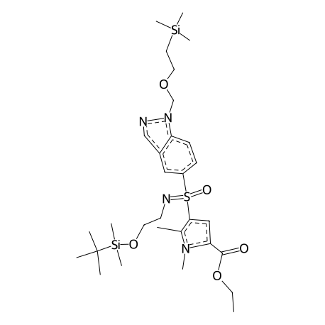 CCOC(=O)c1cc(S(=O)(=NCCO[Si](C)(C)C(C)(C)C)c2ccc3c(cnn3COCC[Si](C)(C)C)c2)c(C)n1C